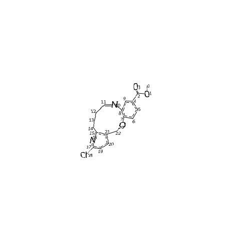 COC(=O)c1ccc2c(c1)/N=C\CCCc1nc(Cl)ccc1CO2